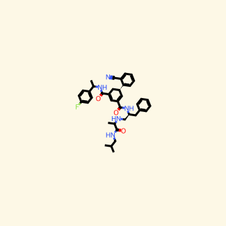 CC(C)CNC(=O)C(C)NC[C@H](Cc1ccccc1)NC(=O)C1=C[C@@H](c2ccccc2C#N)CC(C(=O)NC(C)c2ccc(F)cc2)=C1